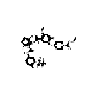 CCOC(=O)[C@H]1CC[C@@H](Oc2cc(C(=O)N[C@H]3[C@@H](C(=O)Nc4ccc(F)c(S(=O)(=O)C(F)(F)F)c4)[C@@H]4C=C[C@H]3C4)c(OC)cc2F)CC1